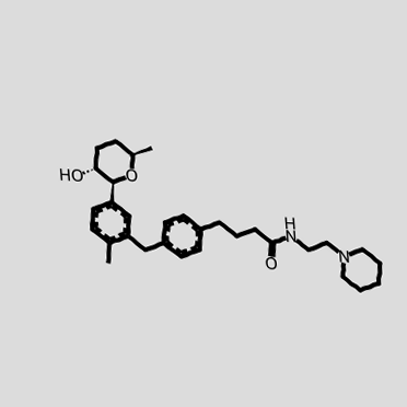 Cc1ccc([C@@H]2O[C@H](C)CC[C@H]2O)cc1Cc1ccc(CCCC(=O)NCCN2CCCCC2)cc1